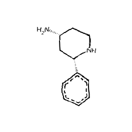 N[C@@H]1CCN[C@H](c2ccccc2)C1